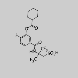 O=C(NC(CS(=O)(=O)O)(C(F)(F)F)C(F)(F)F)c1ccc(I)c(OC(=O)C2CCCCC2)c1